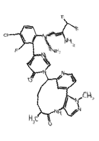 CC1CCCC(n2cnc(-c3c(N(N)/C=C(\N)C(F)F)ccc(Cl)c3F)cc2=O)c2cc(ccn2)-c2c(cnn2C)NC1=O